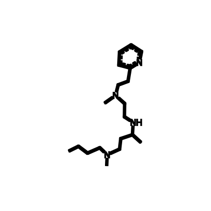 CCCCN(C)CCC(C)NCCN(C)CCc1ccccn1